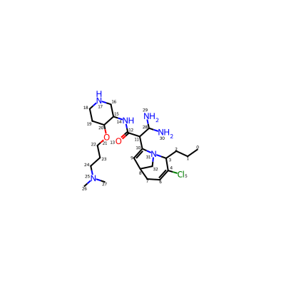 CCCC1C(Cl)=CCC2C=C(C(C(=O)NC3CNCCC3OCCCN(C)C)C(N)N)N1C2